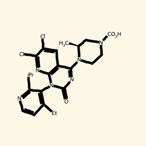 CCc1ccnc(C(C)C)c1-n1c(=O)nc(N2CCN(C(=O)O)C[C@@H]2C)c2cc(Cl)c(Cl)nc21